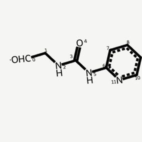 O=[C]CNC(=O)Nc1ccccn1